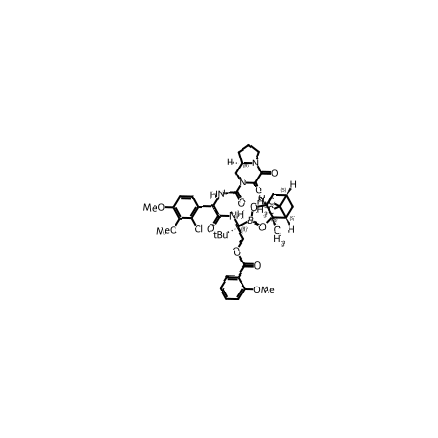 COc1ccccc1C(=O)OC[C@@](NC(=O)C(NC(=O)N1C[C@H]2CCCN2C(=O)C1=O)c1ccc(OC)c(OC)c1Cl)(B1O[C@@H]2C[C@@H]3C[C@@H](C3(C)C)[C@]2(C)O1)C(C)(C)C